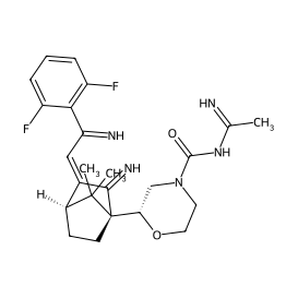 CC(=N)NC(=O)N1CCO[C@H]([C@@]23CC[C@@H](/C(=C/C(=N)c4c(F)cccc4F)C2=N)C3(C)C)C1